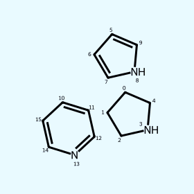 C1CCNC1.c1cc[nH]c1.c1ccncc1